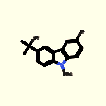 CCCCCCCCn1c2ccc(C(C)C)cc2c2cc(C(C)(C)CCC)ccc21